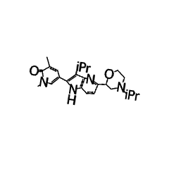 Cc1cc(-c2[nH]c3ccc(C4CN(C(C)C)CCO4)nc3c2C(C)C)cn(C)c1=O